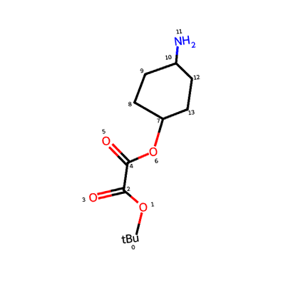 CC(C)(C)OC(=O)C(=O)OC1CCC(N)CC1